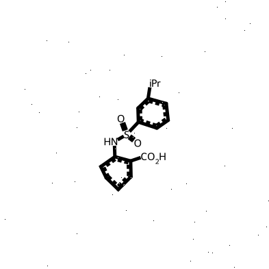 CC(C)c1cccc(S(=O)(=O)Nc2ccccc2C(=O)O)c1